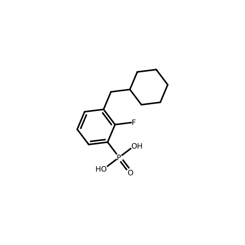 O=P(O)(O)c1cccc(CC2CCCCC2)c1F